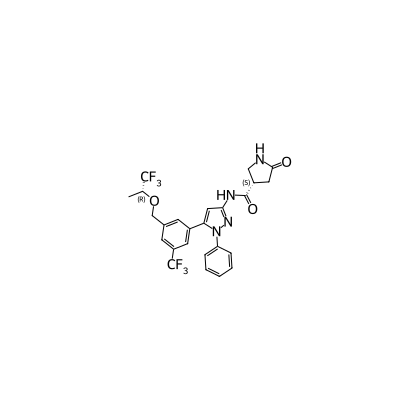 C[C@@H](OCc1cc(-c2cc(NC(=O)[C@@H]3CNC(=O)C3)nn2-c2ccccc2)cc(C(F)(F)F)c1)C(F)(F)F